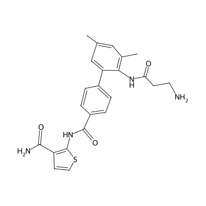 Cc1cc(C)c(NC(=O)CCN)c(-c2ccc(C(=O)Nc3sccc3C(N)=O)cc2)c1